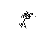 CC(=O)OC/C=C/C1=C(C(=O)O)N2C(=O)C(N)[C@H]2SC1